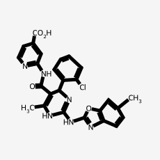 CC1=C(C(=O)Nc2cc(C(=O)O)ccn2)C(c2ccccc2Cl)N=C(Nc2nc3ccc(C)cc3o2)N1